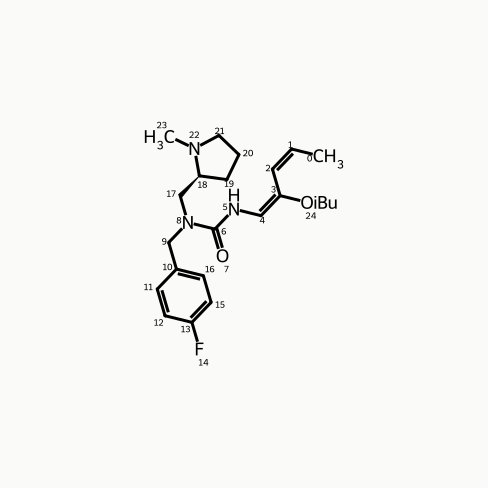 C/C=C\C(=C/NC(=O)N(Cc1ccc(F)cc1)C[C@@H]1CCCN1C)OCC(C)C